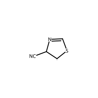 N#CC1[CH]SC=N1